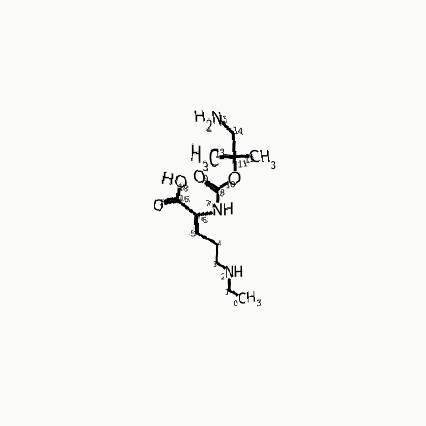 CCNCCCC(NC(=O)OC(C)(C)CN)C(=O)O